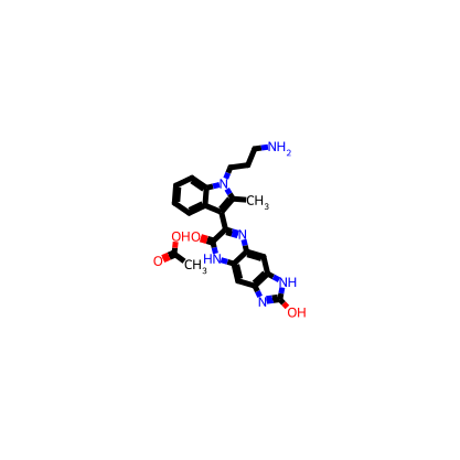 CC(=O)O.Cc1c(-c2nc3cc4[nH]c(O)nc4cc3[nH]c2=O)c2ccccc2n1CCCN